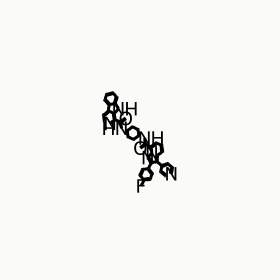 O=C(N[C@H]1CC[C@H](NC(=O)c2cccc3c(-c4ccncc4)c(-c4ccc(F)cc4)nn23)CC1)c1nccc2c1[nH]c1ccccc12